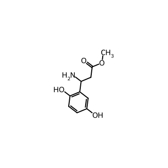 COC(=O)CC(N)c1cc(O)ccc1O